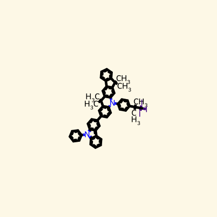 CC1(C)c2ccccc2-c2cc3c(cc21)N(c1ccc(C(C)(C)C(I)(I)I)cc1)c1ccc(-c2ccc4c(c2)c2ccccc2n4-c2ccccc2)cc1C3(C)C